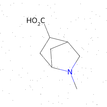 CN1CC2CC1CC2C(=O)O